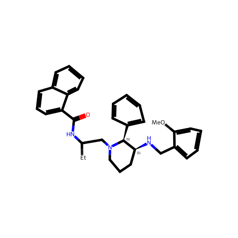 CCC(CN1CCC[C@H](NCc2ccccc2OC)[C@@H]1c1ccccc1)NC(=O)c1cccc2ccccc12